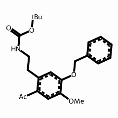 COc1cc(C(C)=O)c(CCNC(=O)OC(C)(C)C)cc1OCc1ccccc1